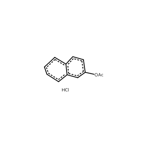 CC(=O)Oc1ccc2ccccc2c1.Cl